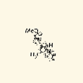 COC(=O)C[C@@H]1CSC(c2c[nH]c3c(NC4CCCC4)cc(C)cc23)=N1